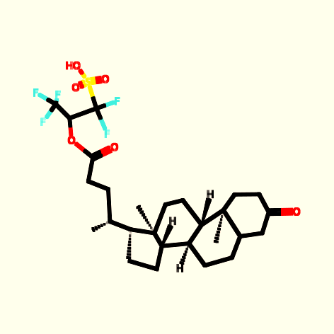 C[C@H](CCC(=O)OC(C(F)(F)F)C(F)(F)S(=O)(=O)O)[C@H]1CC[C@H]2[C@@H]3CCC4CC(=O)CC[C@]4(C)[C@H]3CC[C@]12C